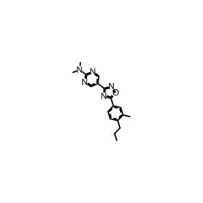 CCCc1ccc(-c2nc(-c3cnc(N(C)C)nc3)no2)cc1C